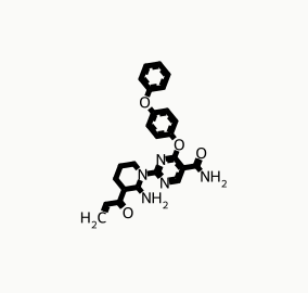 C=CC(=O)C1CCCN(c2ncc(C(N)=O)c(Oc3ccc(Oc4ccccc4)cc3)n2)C1N